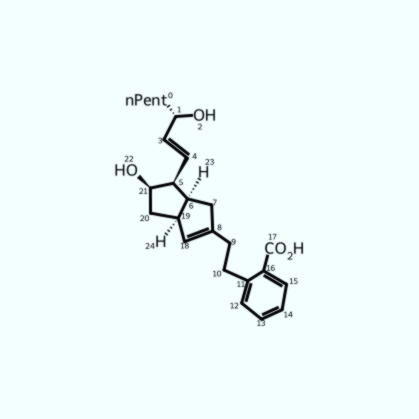 CCCCC[C@H](O)/C=C/[C@H]1[C@H]2CC(CCc3ccccc3C(=O)O)=C[C@H]2C[C@H]1O